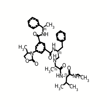 CCNC(=O)[C@@H](NC(=O)[C@H](C)NC[C@H](Cc1ccccc1)NC(=O)c1cc(C(=O)N[C@H](C)c2ccccc2)cc(N2C(=O)OCC2C)c1)C(C)C